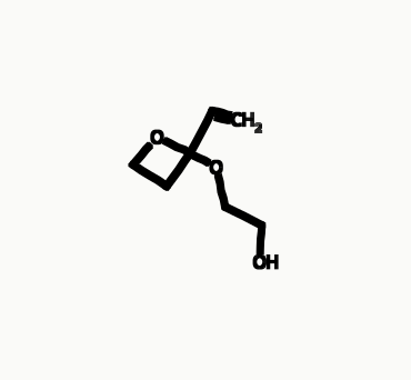 C=CC1(OCCO)CCO1